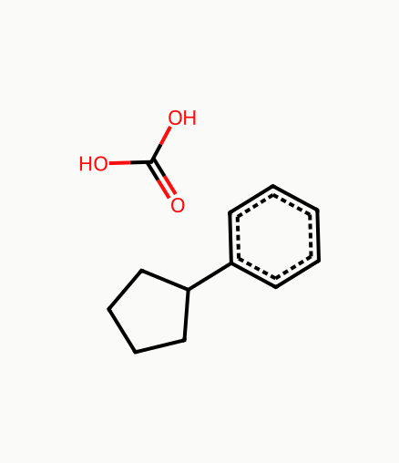 O=C(O)O.c1ccc(C2CCCC2)cc1